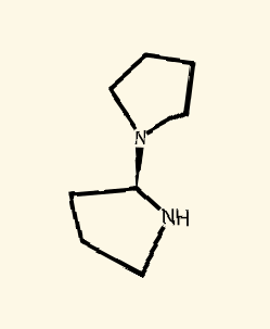 C1CN[C@H](N2CCCC2)C1